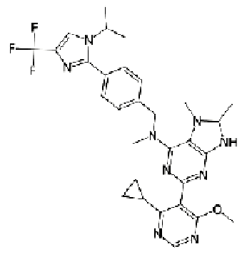 COc1ncnc(C2CC2)c1-c1nc2c(c(N(C)Cc3ccc(-c4nc(C(F)(F)F)cn4C(C)C)cc3)n1)N(C)C(C)N2